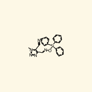 Cn1nnc(/C=N/O[Si](c2ccccc2)(c2ccccc2)c2ccccc2)c1C#N